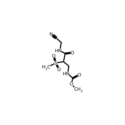 COC(=O)NCC(C(=O)NCC#N)S(C)(=O)=O